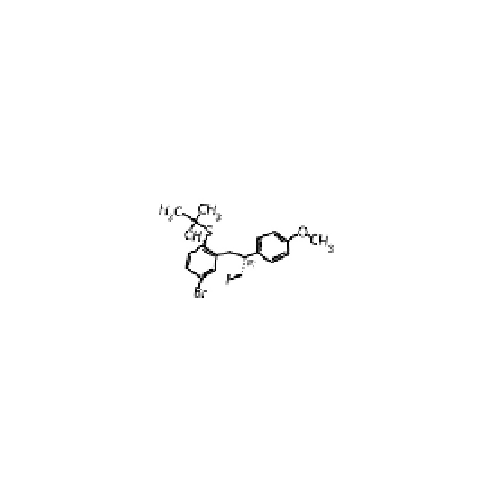 COc1ccc([C@H](CI)Cc2cc(Br)ccc2SC(C)(C)C)cc1